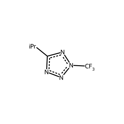 CC(C)c1nnn(C(F)(F)F)n1